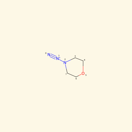 N#[N+]N1CCOCC1